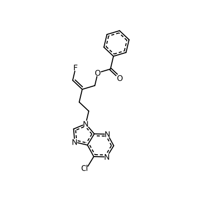 O=C(OC/C(=C\F)CCn1cnc2c(Cl)ncnc21)c1ccccc1